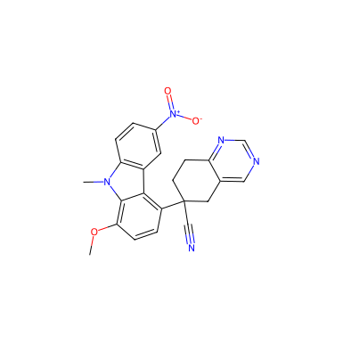 COc1ccc(C2(C#N)CCc3ncncc3C2)c2c3cc([N+](=O)[O-])ccc3n(C)c12